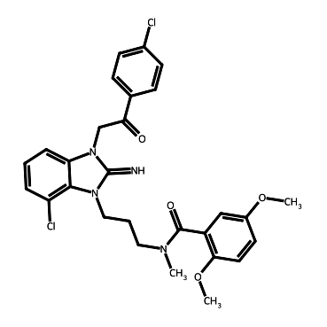 COc1ccc(OC)c(C(=O)N(C)CCCn2c(=N)n(CC(=O)c3ccc(Cl)cc3)c3cccc(Cl)c32)c1